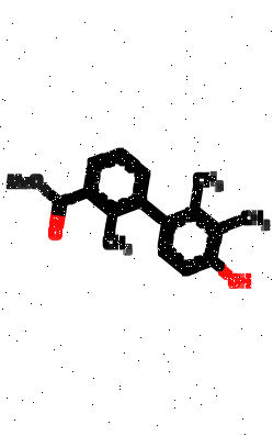 COC(=O)c1cccc(-c2ccc(O)c(C)c2C)c1C